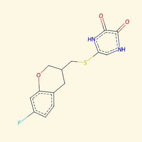 O=c1[nH]cc(SCC2COc3cc(F)ccc3C2)[nH]c1=O